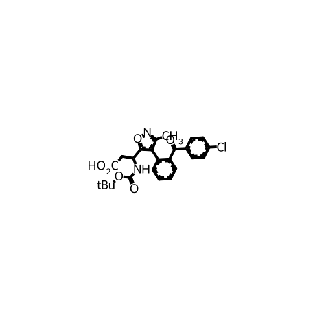 Cc1noc(C(CC(=O)O)NC(=O)OC(C)(C)C)c1-c1ccccc1C(=O)c1ccc(Cl)cc1